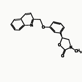 CN1C[C@H](c2cccc(OCc3ccc4ccccc4n3)c2)OC1=O